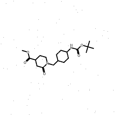 COC(=O)C1CCN(CC2CCC(NC(=O)OC(C)(C)C)CC2)C(=O)C1